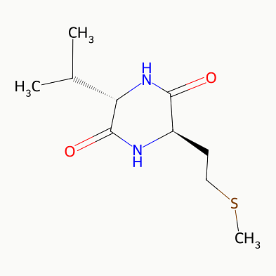 CSCC[C@H]1NC(=O)[C@H](C(C)C)NC1=O